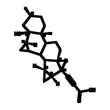 C[C@H]1CC[C@]2(C)C3CC[C@]45O[C@@]4(C#CC(=O)O)[C@H]4C[C@H]4C5C3C3C[C@H]3[C@]2(O)C1